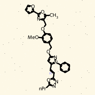 CCCc1nnc(/C=C/c2cc(OCc3ccc(OCc4nc(-c5ccco5)oc4C)c(OC)c3)nn2-c2ccccc2)o1